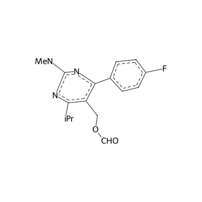 CNc1nc(-c2ccc(F)cc2)c(COC=O)c(C(C)C)n1